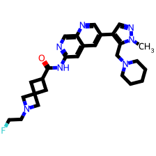 Cn1ncc(-c2cnc3cnc(NC(=O)C4CC5(C4)CN(CCF)C5)cc3c2)c1CN1CCCCC1